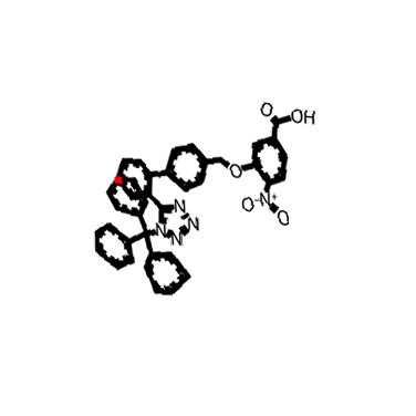 O=C(O)c1ccc([N+](=O)[O-])c(OCc2ccc(-c3ccccc3-c3nnnn3C(c3ccccc3)(c3ccccc3)c3ccccc3)cc2)c1